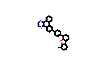 Cc1cccc2c1oc1c(-c3ccc(-c4ccc5c(c4)c4ccccc4c4nccnc54)cc3)cccc12